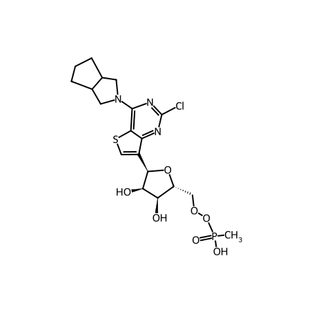 CP(=O)(O)OOC[C@H]1O[C@H](c2csc3c(N4CC5CCCC5C4)nc(Cl)nc23)[C@H](O)[C@@H]1O